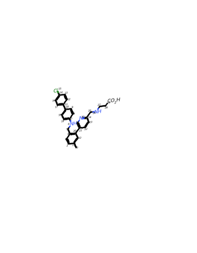 Cc1ccc(CNc2ccc(-c3ccc(Cl)cc3)cc2)c(-c2ccc(CNCCC(=O)O)nc2)c1